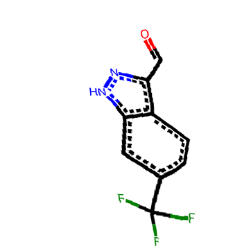 O=Cc1n[nH]c2cc(C(F)(F)F)ccc12